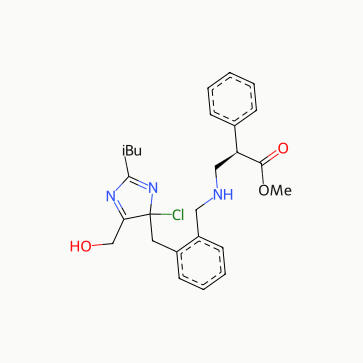 CCC(C)C1=NC(Cl)(Cc2ccccc2CNC[C@H](C(=O)OC)c2ccccc2)C(CO)=N1